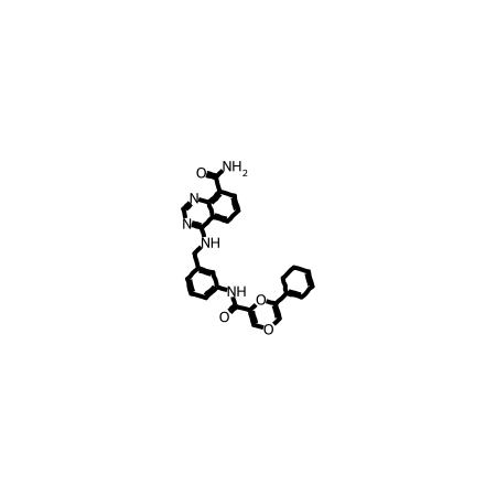 NC(=O)c1cccc2c(NCc3cccc(NC(=O)C4=COC=C(C5=CC=CCC5)O4)c3)ncnc12